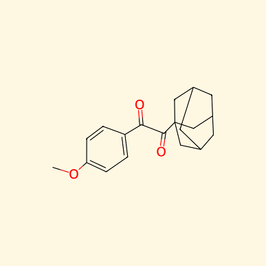 COc1ccc(C(=O)C(=O)C23CC4CC(CC(C4)C2)C3)cc1